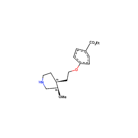 CCOC(=O)c1ccc(OCC[C@@H]2CCNC[C@@H]2OC)cc1